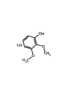 COc1cccc(O)c1OC.[LiH]